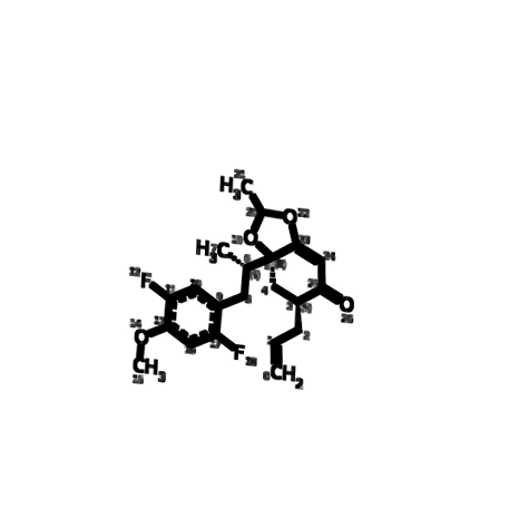 C=CC[C@H]1C[C@]2([C@@H](C)Cc3cc(F)c(OC)cc3F)OC(C)OC2=CC1=O